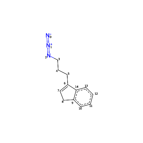 [N-]=[N+]=NCCCC1=CCc2ccccc21